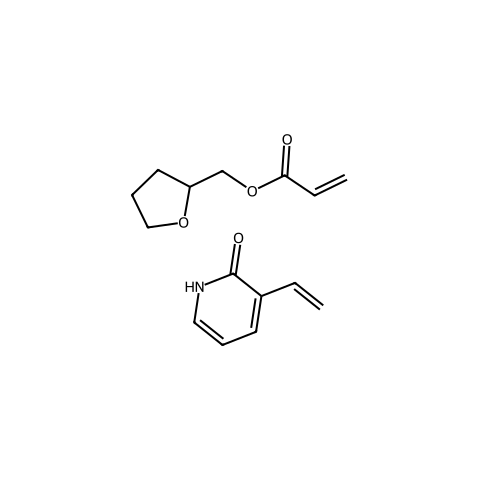 C=CC(=O)OCC1CCCO1.C=Cc1ccc[nH]c1=O